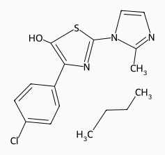 CCCC.Cc1nccn1-c1nc(-c2ccc(Cl)cc2)c(O)s1